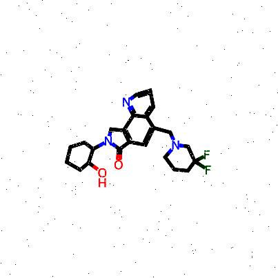 O=C1c2cc(CN3CCCC(F)(F)C3)c3cccnc3c2CN1C1CCCCC1O